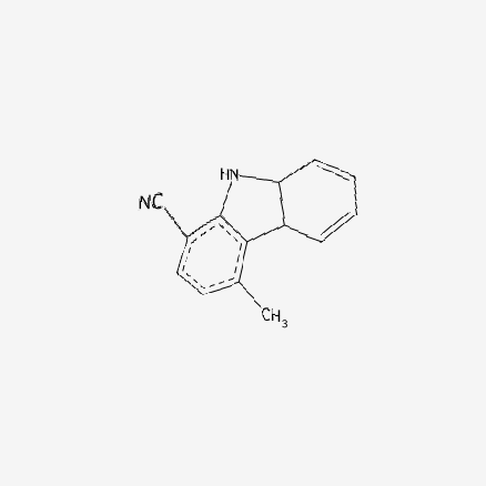 Cc1ccc(C#N)c2c1C1C=CC=CC1N2